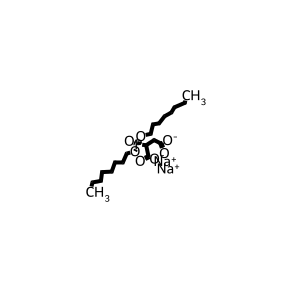 CCCCCCCCOP(=O)(OCCCCCCCC)C(CC(=O)[O-])C(=O)[O-].[Na+].[Na+]